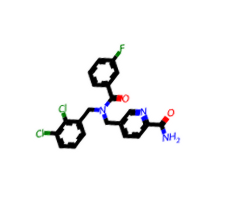 NC(=O)c1ccc(CN(Cc2cccc(Cl)c2Cl)C(=O)c2cccc(F)c2)cn1